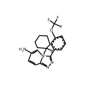 NC1=C[N+]2(C3(Br)CCCCC3)C(=NN=C2c2cccc(OC(F)(F)F)c2)C=C1